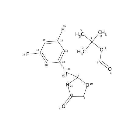 CC(C)(C)OC=O.O=C1COC2[C@@H](c3cc(F)cc(F)c3)N12